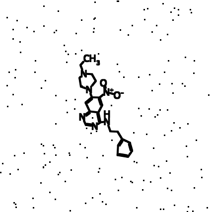 CCN1CCN(c2cc3ncnc(NCCc4ccccc4)c3cc2[N+](=O)[O-])CC1